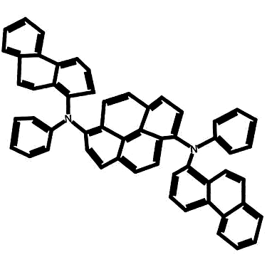 c1ccc(N(c2cccc3c2ccc2ccccc23)c2ccc3ccc4c(N(c5ccccc5)c5cccc6c5ccc5ccccc56)ccc5ccc2c3c54)cc1